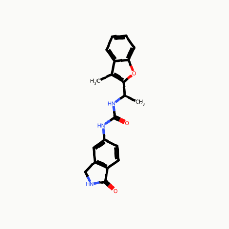 Cc1c(C(C)NC(=O)Nc2ccc3c(c2)CNC3=O)oc2ccccc12